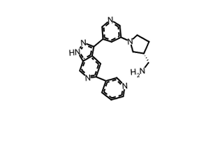 NC[C@H]1CCN(c2cncc(-c3n[nH]c4cnc(-c5cccnc5)cc34)c2)C1